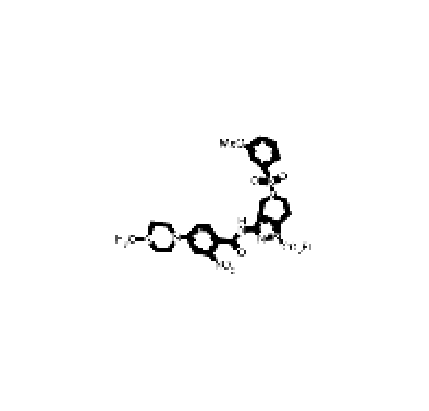 CCOC(=O)n1nc(NC(=O)c2ccc(N3CCN(C)CC3)cc2[N+](=O)[O-])c2c1CCN(S(=O)(=O)c1cccc(OC)c1)C2